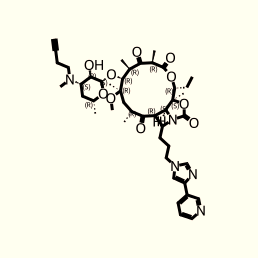 C#CCCN(C)[C@H]1C[C@@H](C)O[C@@H](O[C@@H]2[C@@H](C)C(=O)[C@@H](C)C(=O)O[C@H](CC)[C@@]3(C)OC(=O)N4C(CCCn5cnc(-c6cccnc6)c5)[C@@H](C(=O)[C@H](C)C[C@@]2(C)OC)[C@H]43)[C@@H]1O